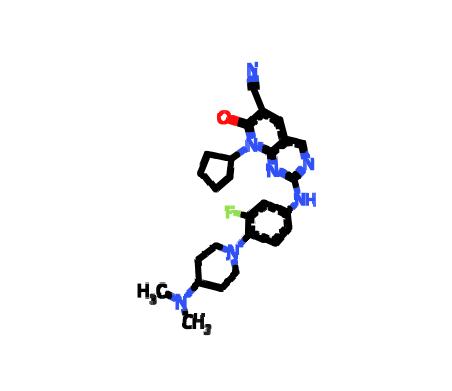 CN(C)C1CCN(c2ccc(Nc3ncc4cc(C#N)c(=O)n(C5CCCC5)c4n3)cc2F)CC1